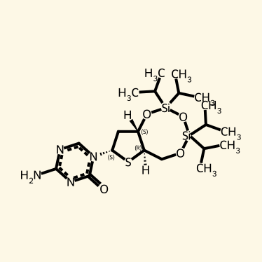 CC(C)[Si]1(C(C)C)OC[C@H]2S[C@H](n3cnc(N)nc3=O)C[C@@H]2O[Si](C(C)C)(C(C)C)O1